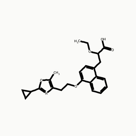 CCOC(Cc1ccc(OCCc2nc(C3CC3)oc2C)c2ccccc12)C(=O)O